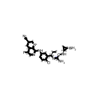 N#Cc1cnc2c(Nc3ccc(Cl)c([C@@H](CF)/N=C(/N)ON[C@@H]4C[C@@H]4N)c3)ncc(F)c2c1